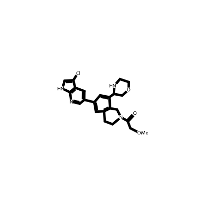 COCC(=O)N1CCc2cc(-c3cnc4[nH]cc(Cl)c4c3)cc(C3COCCN3)c2C1